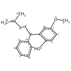 COc1ccc(O)c(C(CCN(C)C)c2ccccc2)c1